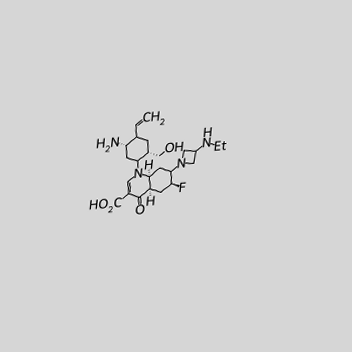 C=CC1C[C@H](CO)C(N2C=C(C(=O)O)C(=O)[C@@H]3C[C@H](F)C(N4CC(NCC)C4)C[C@@H]32)C[C@@H]1N